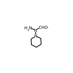 NN([C]=O)N1CCCCC1